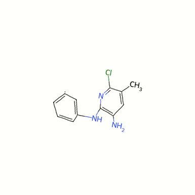 Cc1cc(N)c(Nc2c[c]ccc2)nc1Cl